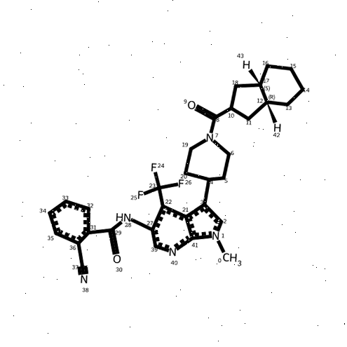 Cn1cc(C2CCN(C(=O)C3C[C@H]4CCCC[C@H]4C3)CC2)c2c(C(F)(F)F)c(NC(=O)c3ccccc3C#N)cnc21